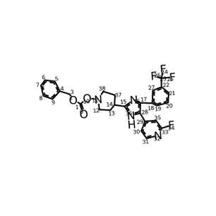 O=C(OCc1ccccc1)ON1CCC(c2nc(-c3cccc(C(F)(F)F)c3)c(-c3ccnc(F)c3)[nH]2)CC1